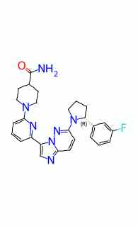 NC(=O)C1CCN(c2cccc(-c3cnc4ccc(N5CCC[C@@H]5c5cccc(F)c5)nn34)n2)CC1